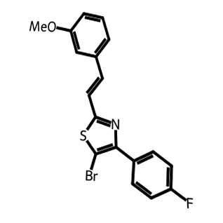 COc1cccc(C=Cc2nc(-c3ccc(F)cc3)c(Br)s2)c1